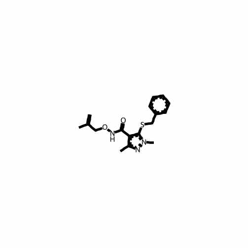 C=C(C)CONC(=O)c1c(C)nn(C)c1SCc1ccccc1